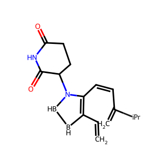 C=CC1=C(/C=C\C(=C)C(C)C)N(C2CCC(=O)NC2=O)BB1